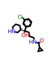 O=C(NCCCC(O)(c1cccc(Cl)c1)[C@@H]1CCCNC1)C1CC1